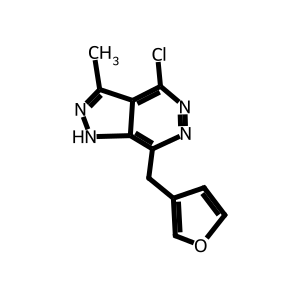 Cc1n[nH]c2c(Cc3ccoc3)nnc(Cl)c12